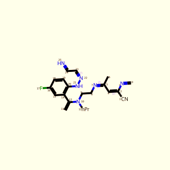 C=N/C(C#N)=C\C(C)=N/CCN(CCC)C(=C)c1cc(F)ccc1N/N=C\C=N